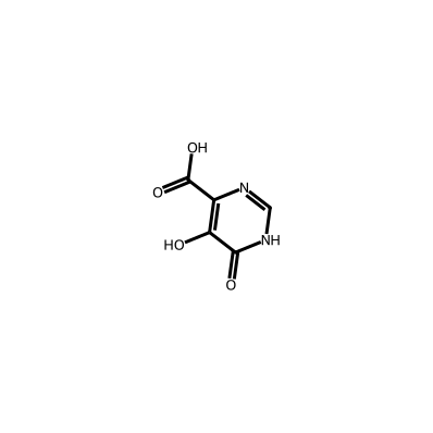 O=C(O)c1nc[nH]c(=O)c1O